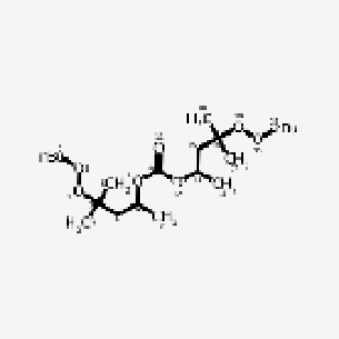 CCCCOOC(C)(C)CC(C)OC(=O)OC(C)CC(C)(C)OOCCCC